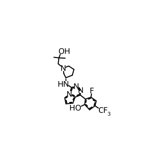 CC(C)(O)CN1CCC[C@@H](Nc2nnc(-c3c(O)cc(C(F)(F)F)cc3F)c3cccn23)C1